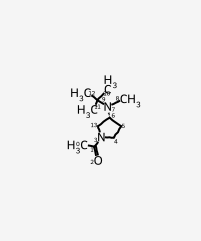 CC(=O)N1CC[C@@H](N(C)C(C)(C)C)C1